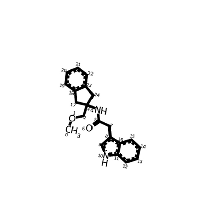 COCC1(NC(=O)Cc2c[nH]c3ccccc23)Cc2ccccc2C1